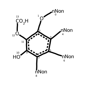 CCCCCCCCCOc1c(CCCCCCCCC)c(CCCCCCCCC)c(CCCCCCCCC)c(O)c1OC(=O)O